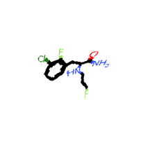 NC(=O)C(Cc1cccc(Cl)c1F)NCCCF